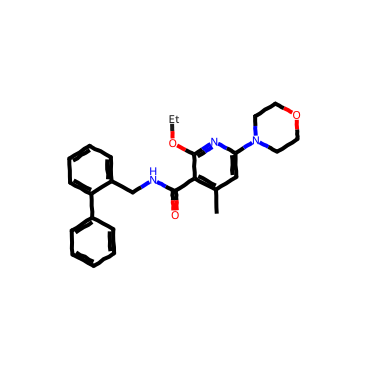 CCOc1nc(N2CCOCC2)cc(C)c1C(=O)NCc1ccccc1-c1ccccc1